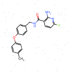 Cc1ccc(Oc2ccc(CNC(=O)c3ccc(F)nc3N)cc2)cc1